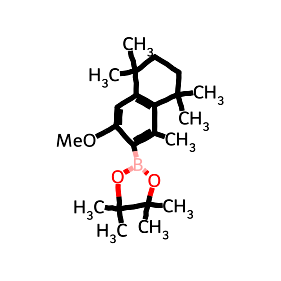 COc1cc2c(c(C)c1B1OC(C)(C)C(C)(C)O1)C(C)(C)CCC2(C)C